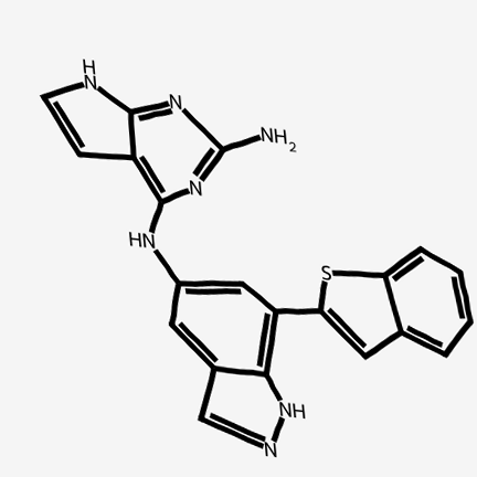 Nc1nc(Nc2cc(-c3cc4ccccc4s3)c3[nH]ncc3c2)c2cc[nH]c2n1